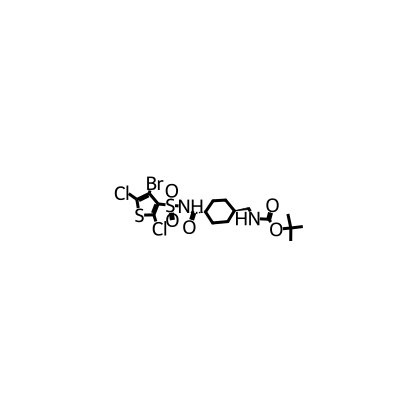 CC(C)(C)OC(=O)NC[C@H]1CC[C@H](C(=O)NS(=O)(=O)c2c(Cl)sc(Cl)c2Br)CC1